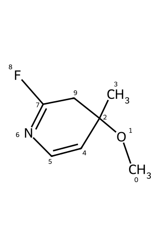 COC1(C)C=CN=C(F)C1